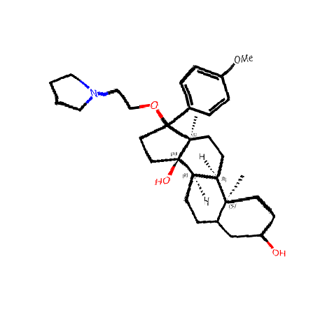 COc1ccc(C2(OCCN3CCCC3)CC[C@@]3(O)[C@@H]4CCC5CC(O)CC[C@]5(C)[C@@H]4CC[C@]23C)cc1